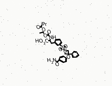 CC(OC(=O)NC(Cc1cccc(S(=O)(=O)N2CC(Oc3ccc(C(N)=O)cc3)(c3ccccc3)C2)c1)C(=O)O)OC(=O)C(C)C